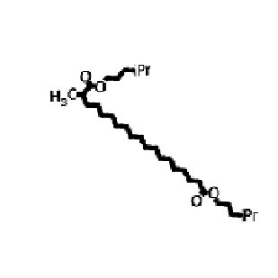 CC(C)CCCOC(=O)CCCCCCCCCCCCCCCCC(C)C(=O)OCCCC(C)C